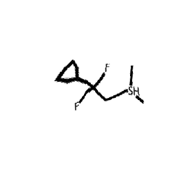 C[SH](C)CC(F)(F)C1CC1